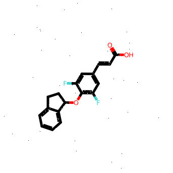 O=C(O)C=Cc1cc(F)c(OC2CCc3ccccc32)c(F)c1